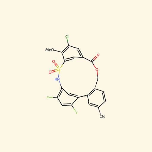 COc1c(Cl)cc2cc1S(=O)(=O)Nc1cc(c(F)cc1F)-c1cc(C#N)ccc1COC2=O